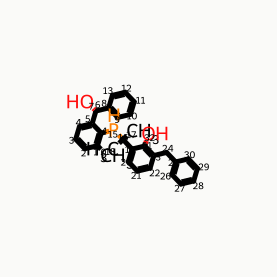 Cc1cccc(C(O)c2ccccc2)c1PC(C)(C)c1cccc(Cc2ccccc2)c1O